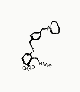 CNCc1c(C=O)cccc1SCc1ccc(CN2CCCCC2)cc1